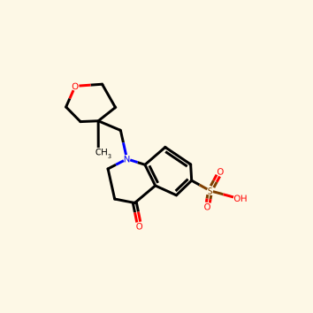 CC1(CN2CCC(=O)c3cc(S(=O)(=O)O)ccc32)CCOCC1